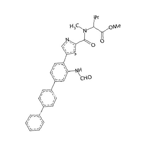 COC(=O)C(C(C)C)N(C)C(=O)c1ncc(-c2ccc(-c3ccc(-c4ccccc4)cc3)cc2NC=O)s1